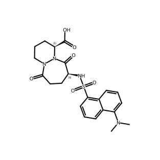 CN(C)c1cccc2c(S(=O)(=O)N[C@H]3CCC(=O)N4CCC[C@@H](C(=O)O)N4C3=O)cccc12